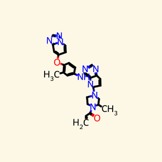 C=CC(=O)N1CCN(c2ccc3ncnc(Nc4ccc(Oc5ccn6ncnc6c5)c(C)c4)c3n2)CC1C